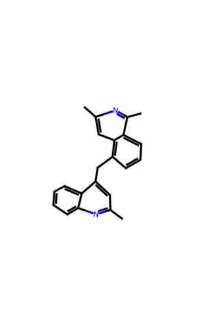 Cc1cc2c(Cc3cc(C)nc4ccccc34)cccc2c(C)n1